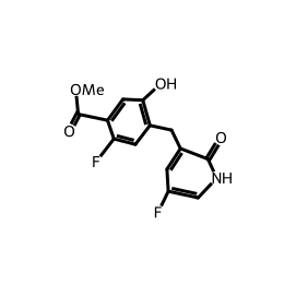 COC(=O)c1cc(O)c(Cc2cc(F)c[nH]c2=O)cc1F